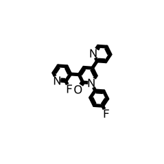 O=c1c(-c2cccnc2F)cc(-c2ccccn2)cn1-c1ccc(F)cc1